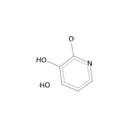 [OH].[O]c1ncccc1O